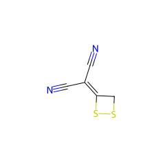 N#CC(C#N)=C1CSS1